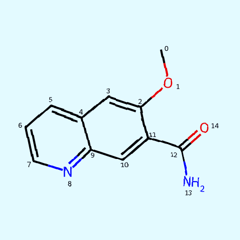 COc1cc2cccnc2cc1C(N)=O